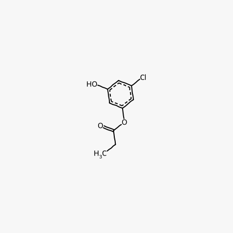 CCC(=O)Oc1cc(O)cc(Cl)c1